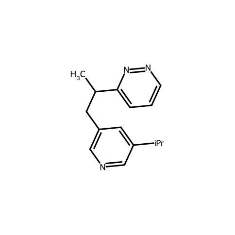 CC(C)c1cncc(CC(C)c2cccnn2)c1